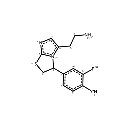 N#Cc1ccc(C2CSc3ncc(CCN)n32)cc1F